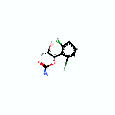 C[C@H](O)[C@@H](OC(N)=O)c1c(Cl)cccc1Cl